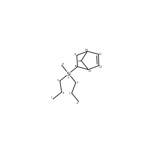 CCC[Si](C)(CCC)C1CC2C=CC1C2